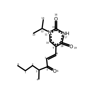 CCCC(C)C(=O)/C=C/c1cn(C(C)C)c(=O)[nH]c1=O